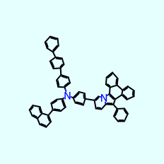 c1ccc(-c2ccc(-c3ccc(N(c4ccc(-c5ccc6c(-c7ccccc7)c7c8ccccc8c8ccccc8c7n6c5)cc4)c4ccc(-c5cccc6ccccc56)cc4)cc3)cc2)cc1